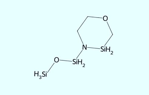 [SiH3]O[SiH2]N1CCOC[SiH2]1